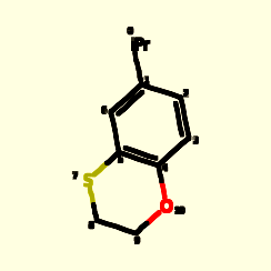 CC(C)c1ccc2c(c1)SCCO2